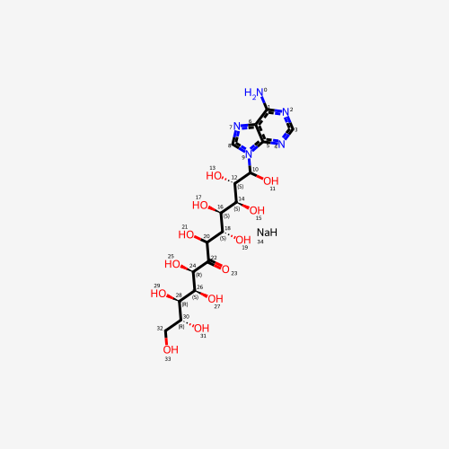 Nc1ncnc2c1ncn2C(O)[C@@H](O)[C@@H](O)[C@H](O)[C@H](O)C(O)C(=O)[C@H](O)[C@@H](O)[C@H](O)[C@H](O)CO.[NaH]